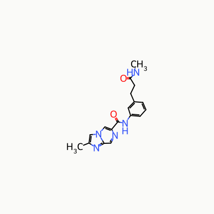 CNC(=O)CCc1cccc(NC(=O)c2cn3cc(C)nc3cn2)c1